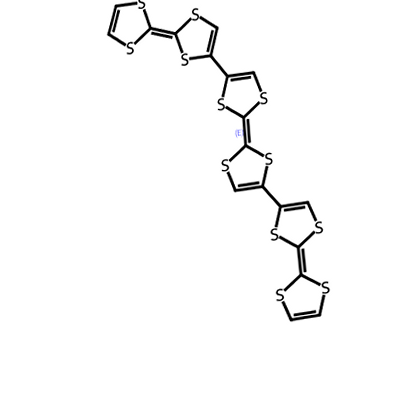 C1=CSC(=C2SC=C(C3=CS/C(=C4/SC=C(C5=CSC(=C6SC=CS6)S5)S4)S3)S2)S1